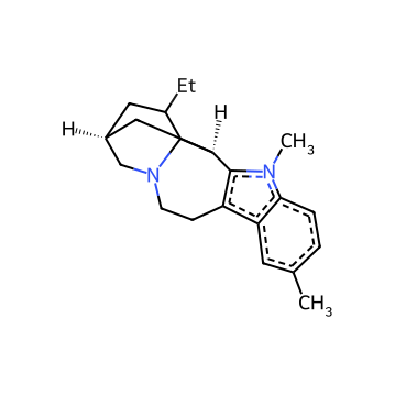 CCC1C[C@H]2C[C@H]3c4c(c5cc(C)ccc5n4C)CCN(C2)C13